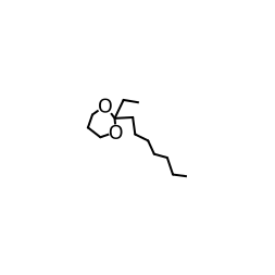 CCCCCCCC1(CC)OCCCO1